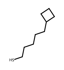 SCCCCCC1CCC1